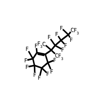 FC1=C(C(C(F)(F)F)(C(F)(F)F)C(F)(F)C(F)(F)C(F)(F)C(F)(F)F)C(F)(F)C(F)(F)C(F)(F)C1(F)F